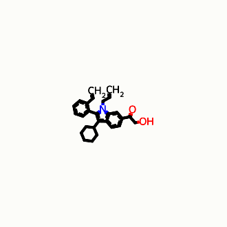 C=CCn1c(-c2ccccc2C=C)c(C2CCCCC2)c2ccc(C(=O)CO)cc21